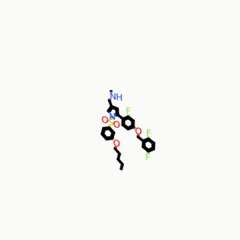 CCCCCOc1cccc(S(=O)(=O)n2cc(CNC)cc2-c2ccc(OCc3cc(F)ccc3F)cc2F)c1